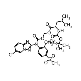 COc1cc(S(C)(=O)=O)ccc1N(C(=O)OCOC(=O)[C@@H](CC(C)C)NC(=O)OC(C)(C)C)c1nc2ccc(Cl)cn2n1